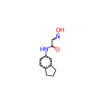 O=C(/C=N/O)Nc1ccc2c(c1)CCC2